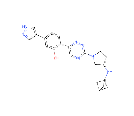 Oc1cc(-c2cn[nH]c2)ccc1-c1cnc(N2CCC(NC34CC(C3)C4)C2)nn1